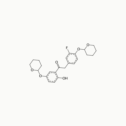 O=C(Cc1ccc(OC2CCCCO2)c(F)c1)c1cc(OC2CCCCO2)ccc1O